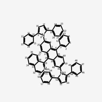 c1ccc(-c2c3cc(-n4c(-c5ccccc5)ccc4-c4ccccc4)ccc3c(-c3nccc4ccccc34)c3cc(-n4c(-c5ccccc5)ccc4-c4ccccc4)ccc23)cc1